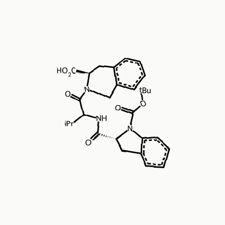 CC(C)C(NC(=O)[C@H]1Cc2ccccc2N1C(=O)OC(C)(C)C)C(=O)N1Cc2ccccc2C[C@@H]1C(=O)O